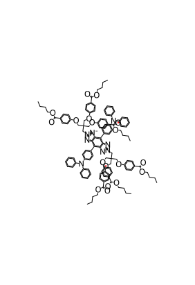 CCCCOC(=O)c1ccc(OCC(COc2ccc(C(=O)OCCCC)cc2)(COc2ccc(C(=O)OCCCC)cc2)Cn2nc3c(-c4ccc(N(c5ccccc5)c5ccccc5)cc4)c4n[n+](CC(COc5ccc(C(=O)OCCCC)cc5)(COc5ccc(C(=O)OCCCC)cc5)COc5ccc(C(=O)OCCCC)cc5)[n-]c4c(-c4ccc(N(c5ccccc5)c5ccccc5)cc4)c3n2)cc1